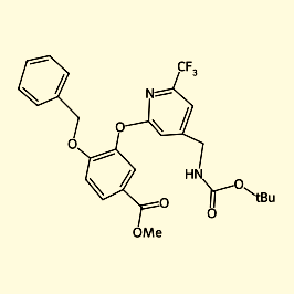 COC(=O)c1ccc(OCc2ccccc2)c(Oc2cc(CNC(=O)OC(C)(C)C)cc(C(F)(F)F)n2)c1